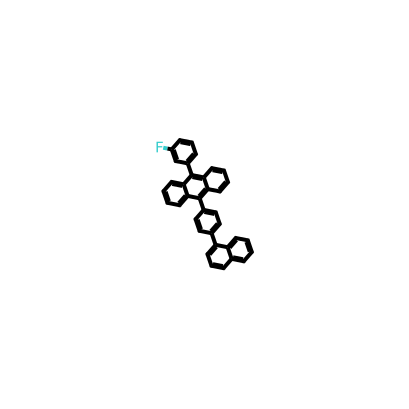 Fc1cccc(-c2c3ccccc3c(-c3ccc(-c4cccc5ccccc45)cc3)c3ccccc23)c1